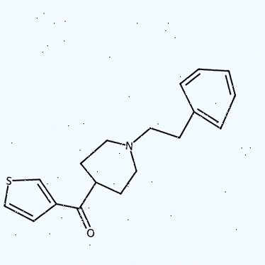 O=C(c1ccsc1)C1CCN(CCc2ccccc2)CC1